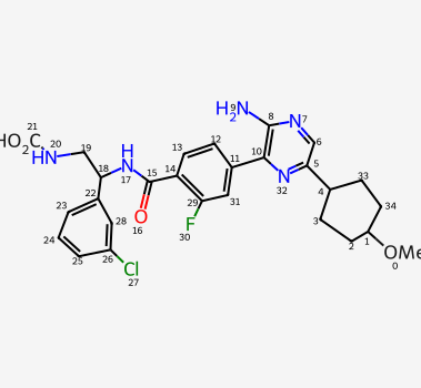 COC1CCC(c2cnc(N)c(-c3ccc(C(=O)NC(CNC(=O)O)c4cccc(Cl)c4)c(F)c3)n2)CC1